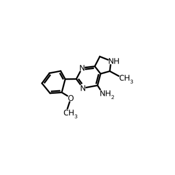 COc1ccccc1-c1nc(N)c2c(n1)CNC2C